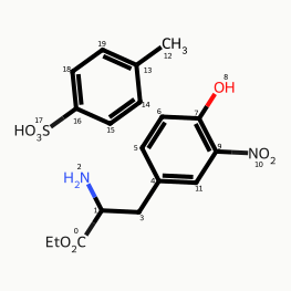 CCOC(=O)C(N)Cc1ccc(O)c([N+](=O)[O-])c1.Cc1ccc(S(=O)(=O)O)cc1